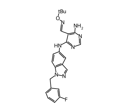 CC(C)(C)ON=Cc1c(N)ncnc1Nc1ccc2c(cnn2Cc2cccc(F)c2)c1